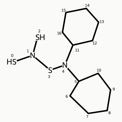 SN(S)SN(C1CCCCC1)C1CCCCC1